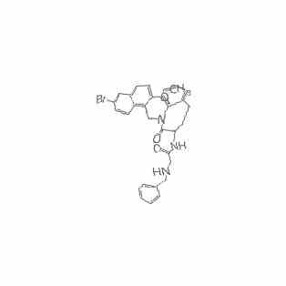 COc1ccc2cc(Br)ccc2c1CN1C(=O)C(NC(=O)CNCc2ccccc2)CCc2ccccc21